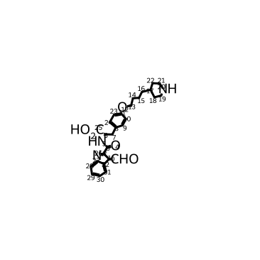 O=CC1C(C(=O)N[C@@H](Cc2ccc(OCCCCC3CCNCC3)cc2)C(=O)O)=Nc2ccccc21